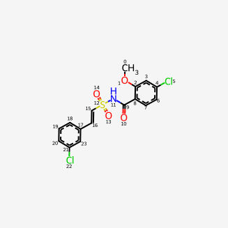 COc1cc(Cl)ccc1C(=O)NS(=O)(=O)C=Cc1cccc(Cl)c1